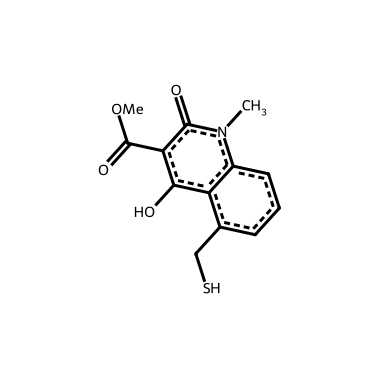 COC(=O)c1c(O)c2c(CS)cccc2n(C)c1=O